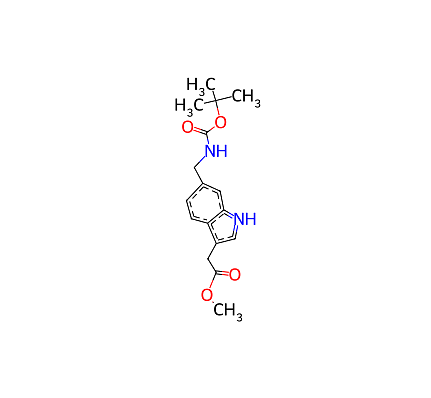 COC(=O)Cc1c[nH]c2cc(CNC(=O)OC(C)(C)C)ccc12